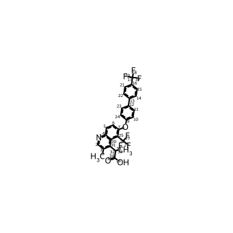 Cc1cnc2ccc(Oc3ccc(-c4ccc(C(F)(F)F)cc4)cc3)c(C(F)(F)F)c2c1C(C)C(=O)O